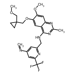 C=Nc1cc(CNc2nc(C)nc3cc(OC)c(OCC4(COC)CC4)cc23)nc(C(F)(F)F)c1